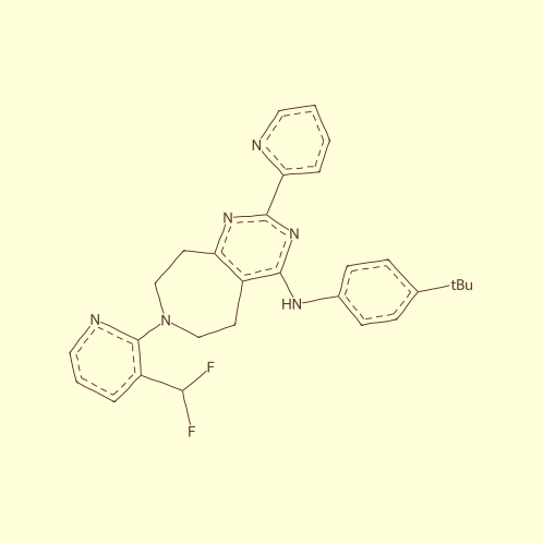 CC(C)(C)c1ccc(Nc2nc(-c3ccccn3)nc3c2CCN(c2ncccc2C(F)F)CC3)cc1